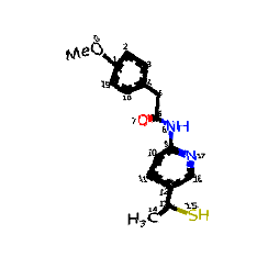 COc1ccc(CC(=O)Nc2ccc(C(C)S)cn2)cc1